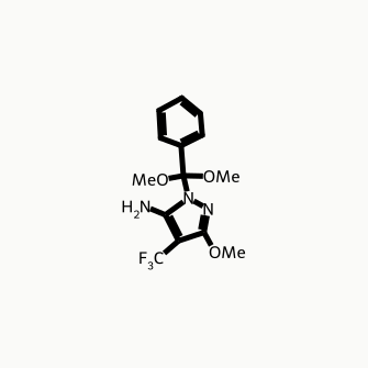 COc1nn(C(OC)(OC)c2ccccc2)c(N)c1C(F)(F)F